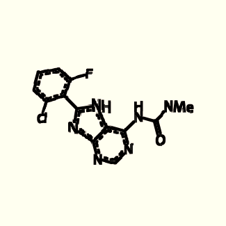 CNC(=O)Nc1ncnc2nc(-c3c(F)cccc3Cl)[nH]c12